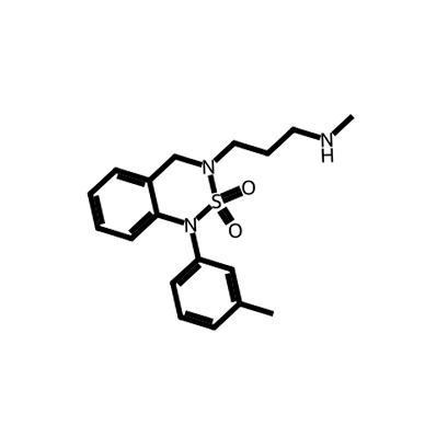 CNCCCN1Cc2ccccc2N(c2cccc(C)c2)S1(=O)=O